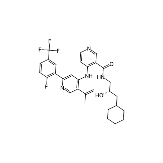 C=C(C)c1cnc(-c2cc(C(F)(F)F)ccc2F)cc1Nc1ccncc1C(=O)NC[C@@H](O)CC1CCCCC1